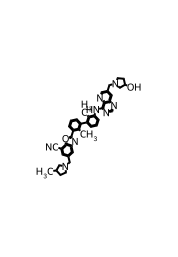 Cc1c(Nc2ncnc3cc(CN4CCC(O)C4)cnc23)cccc1-c1cccc(-c2nc3cc(CN4CCC(C)C4)cc(C#N)c3o2)c1C